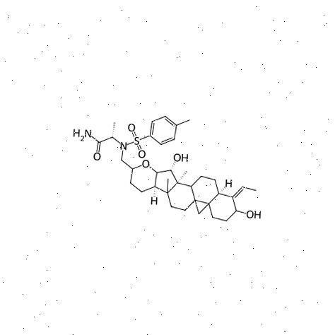 C/C=C1\C(O)CCC23CC24CCC2(C)[C@H]5CCC(CN([C@@H](C)C(N)=O)S(=O)(=O)c6ccc(C)cc6)OC5[C@H](O)[C@@]2(C)C4CC[C@@H]13